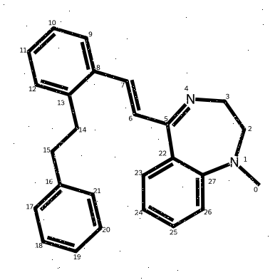 CN1CCN=C(/C=C/c2ccccc2CCc2ccccc2)c2ccccc21